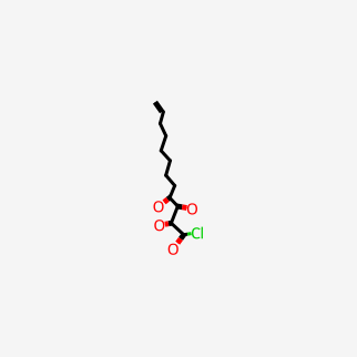 C=CCCCCCCC(=O)C(=O)C(=O)C(=O)Cl